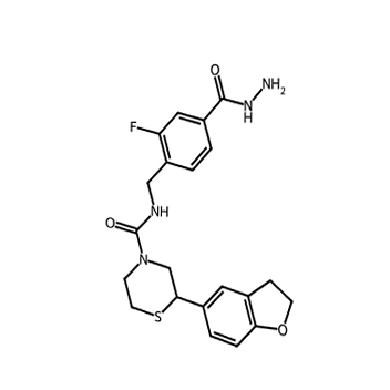 NNC(=O)c1ccc(CNC(=O)N2CCSC(c3ccc4c(c3)CCO4)C2)c(F)c1